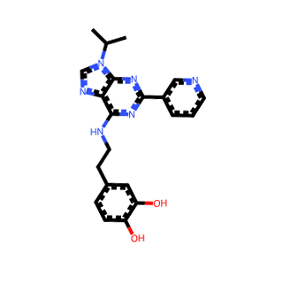 CC(C)n1cnc2c(NCCc3ccc(O)c(O)c3)nc(-c3cccnc3)nc21